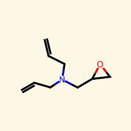 C=CCN(CC=C)CC1CO1